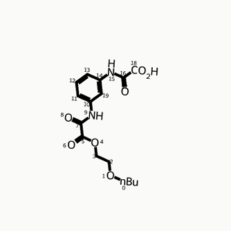 CCCCOCCOC(=O)C(=O)Nc1cccc(NC(=O)C(=O)O)c1